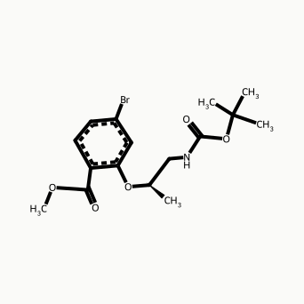 COC(=O)c1ccc(Br)cc1O[C@H](C)CNC(=O)OC(C)(C)C